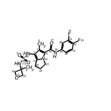 Cc1c(NS(=O)(=O)NC2(C)COC2)c2n(c1C(=O)Nc1ccc(F)c(F)c1)CCC2